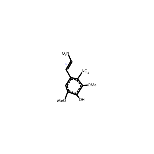 COc1cc(/C=C/[N+](=O)[O-])c([N+](=O)[O-])c(OC)c1O